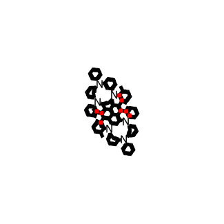 Cc1ccccc1N1c2cccc(c2)N(c2ccccc2)c2cccc(c2)N(c2ccccc2C)c2cc1c1c(C(C)C)c(C(C)C)c3c4cc(c5c(C(C)C)c(C(C)C)c2c1c35)N(c1ccccc1C)c1cccc(c1)N(c1ccccc1)c1cccc(c1)N4c1ccccc1C